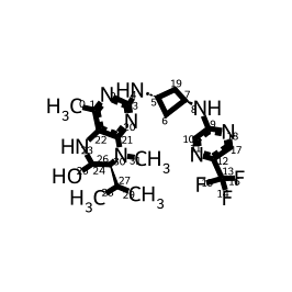 Cc1nc(N[C@H]2C[C@@H](Nc3cnc(C(F)(F)F)cn3)C2)nc2c1NC(O)[C@H](C(C)C)N2C